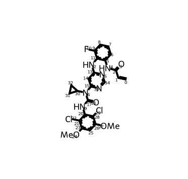 C=CC(=O)Nc1cccc(F)c1Nc1cc(N(C(=O)Nc2c(Cl)c(OC)cc(OC)c2Cl)C2CC2)ncn1